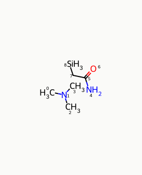 CN(C)C.NC(=O)C[SiH3]